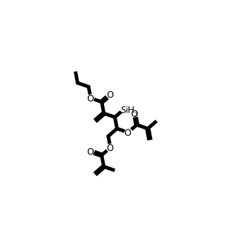 C=C(C)C(=O)OCC(OC(=O)C(=C)C)C([SiH3])C(=C)C(=O)OCCC